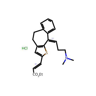 CCOC(=O)/C=C/c1cc2c(s1)/C(=C\CCN(C)C)c1ccccc1CC2.Cl